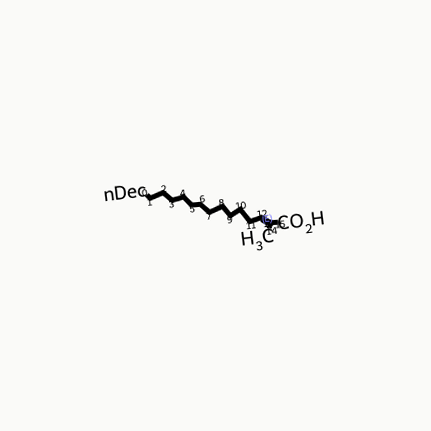 CCCCCCCCCCCCCCCCCCCCC/C=C(\C)C(=O)O